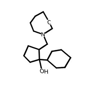 OC1(C2CCCCC2)CCCC1CN1CCCCCC1